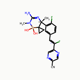 CN1C(N)=N[C@](C)(c2cc(/C=C(\F)c3cnc(C#N)cn3)ccc2F)C2(CC2)S1(O)O